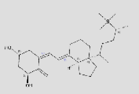 C=C1/C(=C\C=C2/CCC[C@@]3(C(C)CC[C@@H](C)[Si](C)(C)C)CCC[C@@H]23)C[C@@H](O)C[C@@H]1O